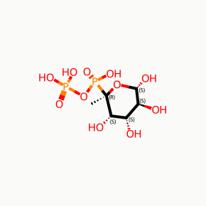 C[C@]1(P(=O)(O)OP(=O)(O)O)O[C@H](O)[C@@H](O)[C@H](O)[C@@H]1O